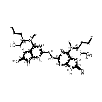 CCC[C@H](CO)N(C)c1nc(SSc2nc(N(C)[C@@H](CO)CCC)c3sc(=O)[nH]c3n2)nc2[nH]c(=O)sc12